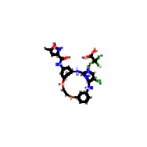 Cc1cc(C(=O)Nc2cc3cc(c2)OCCSc2cccc(c2)Nc2nc(ncc2Cl)N3)no1.O=C(O)C(F)(F)F